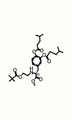 COC(=O)[C@H](Cc1ccc(OC(=O)CCC(C)C)c(OC(=O)CCC(C)C)c1)NCCOC(=O)C(C)(C)C